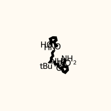 CC(C)(C)CC(CCCCNC(=O)c1ccccc1O)NCCOc1ccccc1NC(N)=O